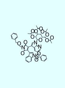 CC(=O)OC[C@H]1O[C@@H](n2cc(C3=C(c4cn(S(=O)(=O)c5ccccc5)c5ccccc45)C(=O)N(COCc4ccccc4)C3=O)c3cccnc32)[C@H](OC(C)=O)[C@@H](OC(C)=O)[C@@H]1OC(C)=O